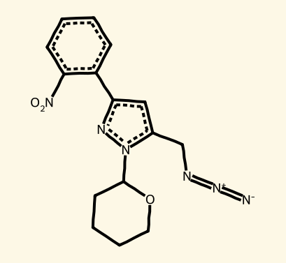 [N-]=[N+]=NCc1cc(-c2ccccc2[N+](=O)[O-])nn1C1CCCCO1